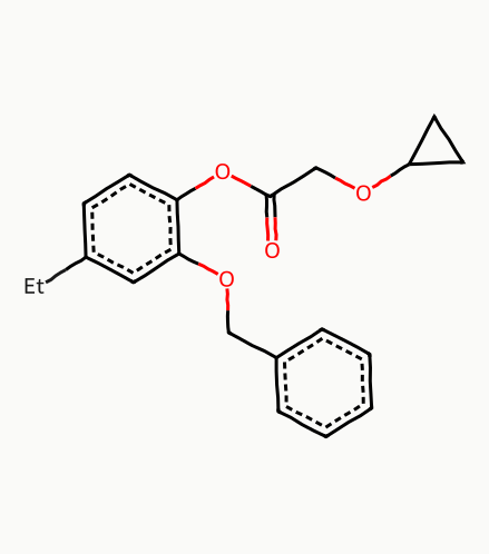 CCc1ccc(OC(=O)COC2CC2)c(OCc2ccccc2)c1